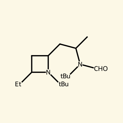 CCC1CC(CC(C)N(C=O)C(C)(C)C)N1C(C)(C)C